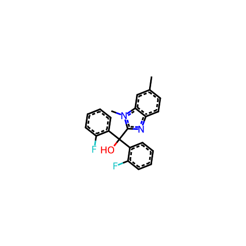 Cc1ccc2nc(C(O)(c3ccccc3F)c3ccccc3F)n(C)c2c1